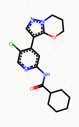 O=C(Nc1cc(-c2cnn3c2OCCC3)c(Cl)cn1)C1CCCCC1